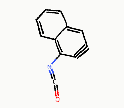 O=C=Nc1c#ccc2ccccc12